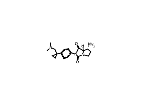 CN(C)CC1(c2ccc(N3C(=O)[C@@H]4[C@H](N)CCN4C3=O)cc2)CC1